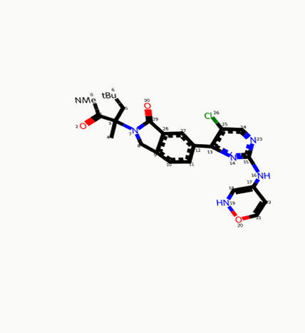 CNC(=O)C(C)(CC(C)(C)C)N1Cc2ccc(-c3nc(NC4=CNOC=C4)ncc3Cl)cc2C1=O